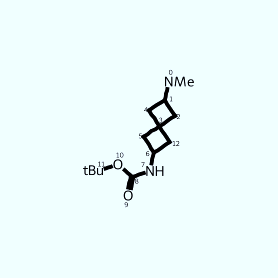 CNC1CC2(C1)CC(NC(=O)OC(C)(C)C)C2